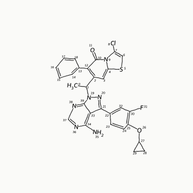 CC(c1cc2scc(Cl)n2c(=O)c1-c1ccccc1)n1nc(-c2ccc(OC3CC3)c(F)c2)c2c(N)ncnc21